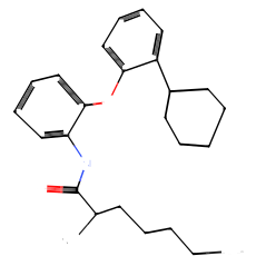 CCCCCCCCCCCCCCC(C#N)C(=O)Nc1ccccc1Oc1ccccc1C1CCCCC1